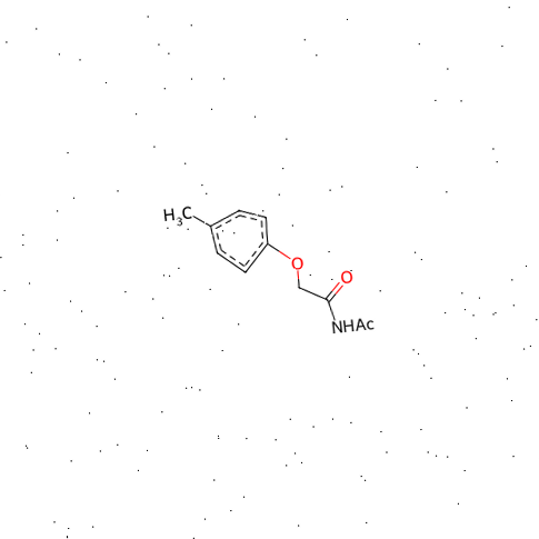 CC(=O)NC(=O)COc1ccc(C)cc1